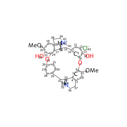 COc1cc2c3cc1Oc1cc(ccc1O)C[C@@H]1c4c(cc(OC)c(O)c4Oc4ccc(cc4)C[C@@H]3N(C)CC2)CC[N+]1(C)C.[Cl-]